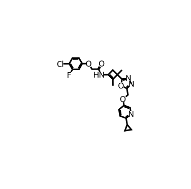 CC1=C(NC(=O)COc2ccc(Cl)c(F)c2)CC1(C)c1nnc(COc2ccc(C3CC3)nc2)o1